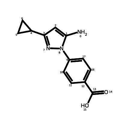 Nc1cc(C2CC2)nn1-c1ccc(C(=O)O)cc1